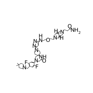 CC1(C)CCN(Cc2cc(F)c(N3CC(=O)NC4(CCN(c5cc(NCCOCCN6C[C@@H]7CN(CCC(N)=O)C[C@@H]7C6)ncn5)CC4)C3)cc2F)CC1